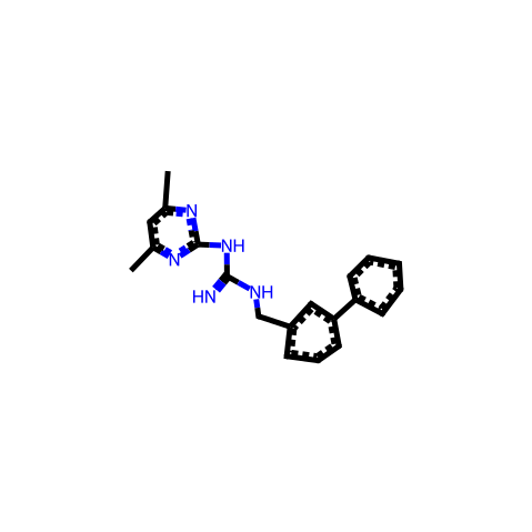 Cc1cc(C)nc(NC(=N)NCc2cccc(-c3ccccc3)c2)n1